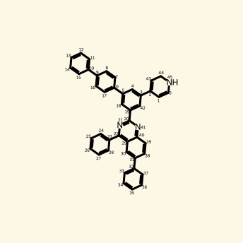 C1=CC(c2cc(-c3ccc(-c4ccccc4)cc3)cc(-c3nc(-c4ccccc4)c4cc(-c5ccccc5)ccc4n3)c2)=CCN1